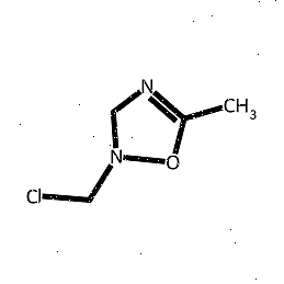 CC1=NCN(CCl)O1